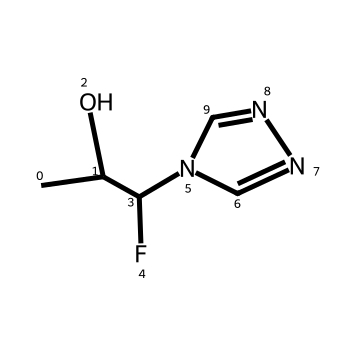 CC(O)C(F)n1cnnc1